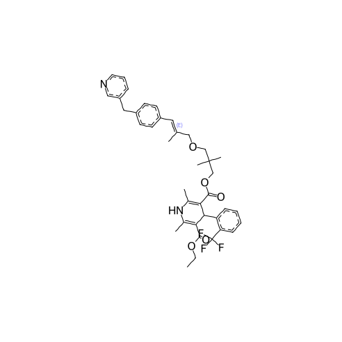 CCOC(=O)C1=C(C)NC(C)=C(C(=O)OCC(C)(C)COC/C(C)=C/c2ccc(Cc3cccnc3)cc2)C1c1ccccc1C(F)(F)F